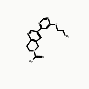 CCCNc1cc(-c2cnc3c(c2)CN(C(C)=O)CC3)ncn1